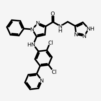 O=C(NCc1c[nH]nn1)c1cc(Nc2cc(-c3ccccn3)c(Cl)cc2Cl)n(-c2ccccc2)n1